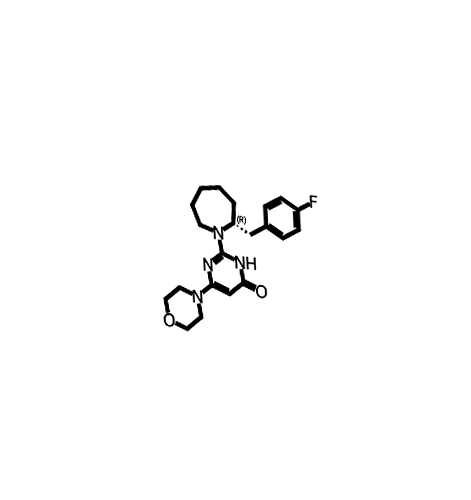 O=c1cc(N2CCOCC2)nc(N2CCCCC[C@@H]2Cc2ccc(F)cc2)[nH]1